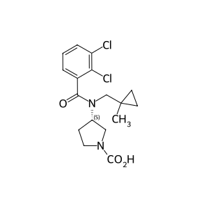 CC1(CN(C(=O)c2cccc(Cl)c2Cl)[C@H]2CCN(C(=O)O)C2)CC1